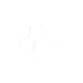 C=CCOc1ccccc1C(=O)O.[AlH3]